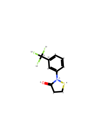 O=C1CCSN1c1cccc(C(F)(F)F)c1